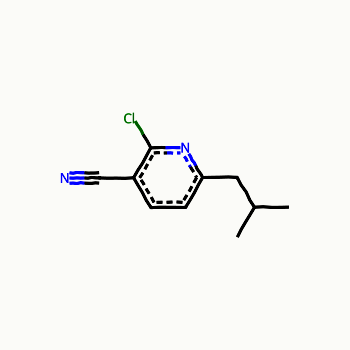 CC(C)Cc1ccc(C#N)c(Cl)n1